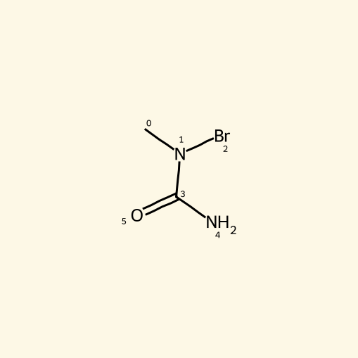 CN(Br)C(N)=O